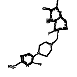 Cc1nc2ccc(CN3CCN(c4ccc(C(=O)O)nc4F)CC3)c(F)c2[nH]c1=O